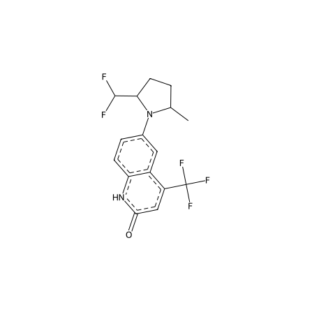 CC1CCC(C(F)F)N1c1ccc2[nH]c(=O)cc(C(F)(F)F)c2c1